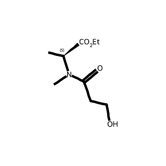 CCOC(=O)[C@H](C)N(C)C(=O)CCO